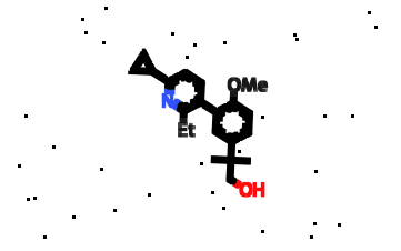 CCc1nc(C2CC2)ccc1-c1cc(C(C)(C)CO)ccc1OC